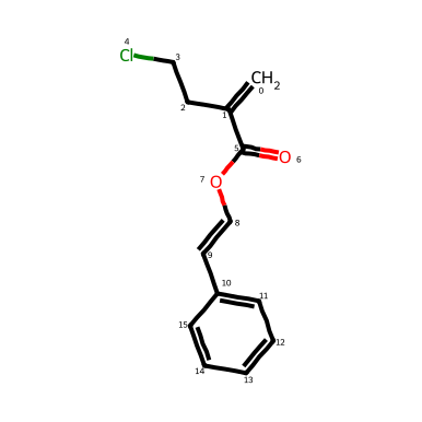 C=C(CCCl)C(=O)OC=Cc1ccccc1